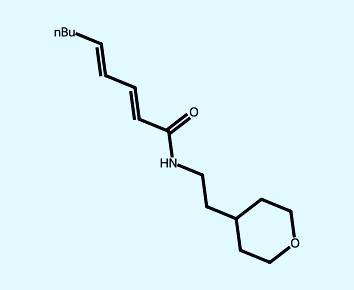 CCCC/C=C/C=C/C(=O)NCCC1CCOCC1